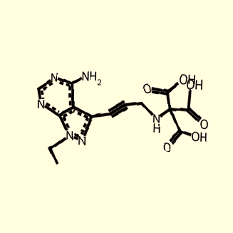 CCn1nc(C#CCNC(C(=O)O)(C(=O)O)C(=O)O)c2c(N)ncnc21